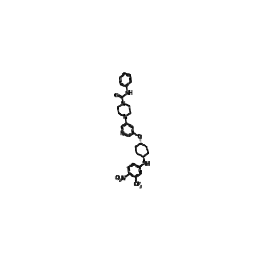 O=C(Nc1ccccc1)N1CCN(c2cncc(O[C@H]3CC[C@H](Nc4ccc([N+](=O)[O-])c(C(F)(F)F)c4)CC3)c2)CC1